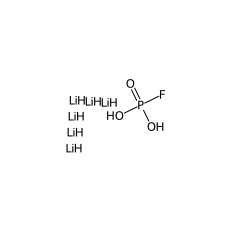 O=P(O)(O)F.[LiH].[LiH].[LiH].[LiH].[LiH].[LiH]